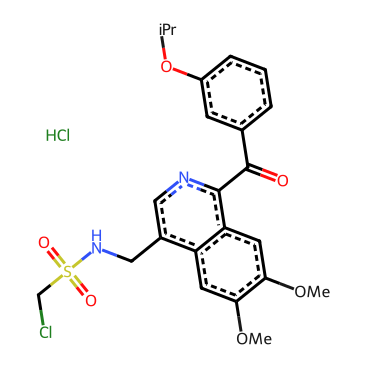 COc1cc2c(CNS(=O)(=O)CCl)cnc(C(=O)c3cccc(OC(C)C)c3)c2cc1OC.Cl